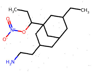 CCC1CC2CC(CCN)CC(C(CC)O[N+](=O)[O-])(C1)C2